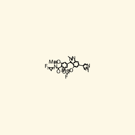 COc1cc(-c2c3c(OC)cc(-c4cnn(C)c4)cc3nn2C)cc(OC(F)F)c1C(=O)N[C@@H]1C[C@@H]1F